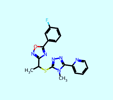 CC(Sc1nnc(-c2ccccn2)n1C)c1noc(-c2cccc(F)c2)n1